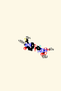 CC(C)(C)CN(Cc1csc(C(C)(C)C)c1)C(=O)c1ccc2cc(OC(=O)c3ccc(N/C(=N\C(=O)OC(C)(C)C)NC(=O)OC(C)(C)C)c(F)c3)ccc2n1